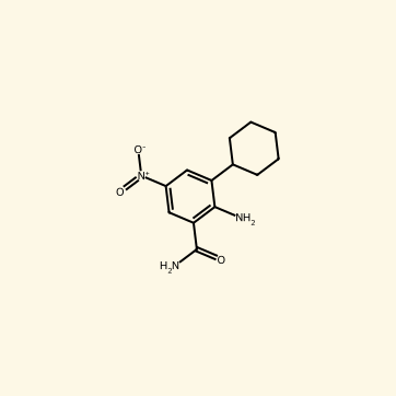 NC(=O)c1cc([N+](=O)[O-])cc(C2CCCCC2)c1N